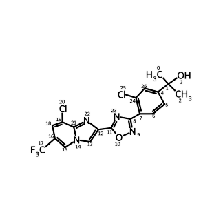 CC(C)(O)c1ccc(-c2noc(-c3cn4cc(C(F)(F)F)cc(Cl)c4n3)n2)c(Cl)c1